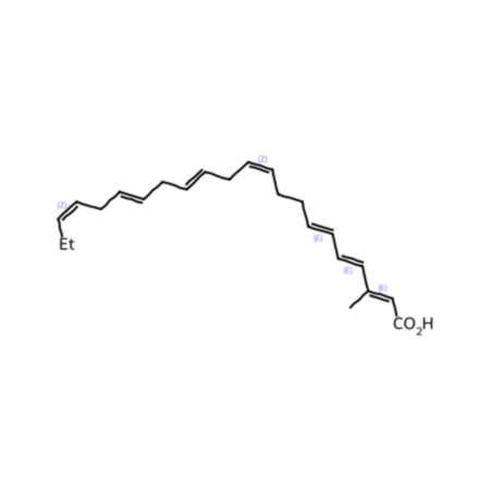 CC/C=C\CC=CCC=CC/C=C\CC/C=C/C=C/C(C)=C/C(=O)O